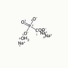 O.O=C([O-])P(=O)([O-])[O-].[Na+].[Na+].[Na+]